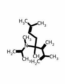 C=C(C)C(=C)C(C)(CC=C(C)C)N(C)C(=C)C